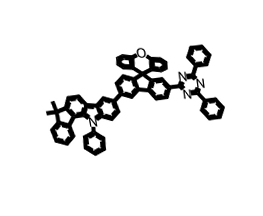 CC1(C)c2ccccc2-c2c1ccc1c3cc(-c4ccc5c(c4)-c4ccc(-c6nc(-c7ccccc7)nc(-c7ccccc7)n6)cc4C54c5ccccc5Oc5ccccc54)ccc3n(-c3ccccc3)c21